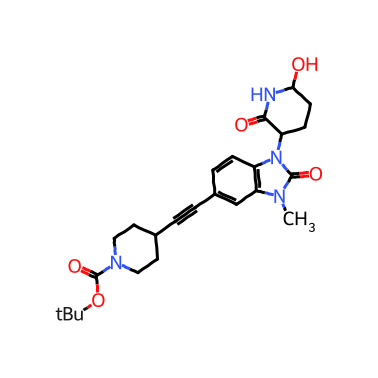 Cn1c(=O)n(C2CCC(O)NC2=O)c2ccc(C#CC3CCN(C(=O)OC(C)(C)C)CC3)cc21